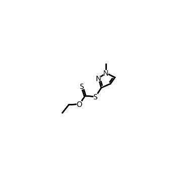 CCOC(=S)Sc1ccn(C)n1